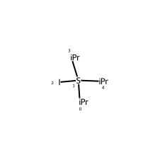 CC(C)S(I)(C(C)C)C(C)C